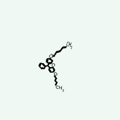 CCCCCCOc1ccc2c(c1)Oc1cc(OCCCCCC)ccc1C2c1ccccc1